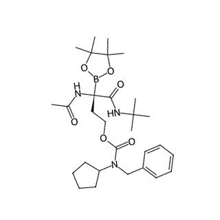 CC(=O)N[C@](CCOC(=O)N(Cc1ccccc1)C1CCCC1)(B1OC(C)(C)C(C)(C)O1)C(=O)NC(C)(C)C